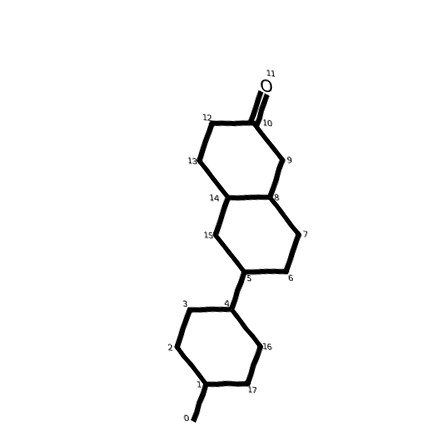 CC1CCC(C2CCC3CC(=O)CCC3C2)CC1